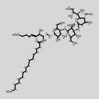 CCCCCCCCCCCCC/C=C/[C@@H](O)[C@H](CO[C@@H]1OC(CO)[C@@H](O[C@@H]2OC(CO)[C@H](O)[C@H](O[C@]3(C(=O)O)CC(O)[C@@H](NC(C)=O)C([C@H](O)[C@H](O)CO)O3)C2O)[C@H](O)C1O)NC(=O)CCCCCCCCCCCCCCCCCCCCCCCCC